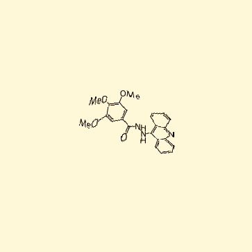 COc1cc(C(=O)NNc2c3ccccc3nc3ccccc23)cc(OC)c1OC